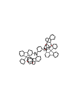 C1=CC(N(c2cccc(N(c3ccc4c(c3)C(c3ccccc3)(c3ccccc3)c3ccccc3-4)c3cccc4oc5ccccc5c34)c2)c2ccc3c(c2)oc2ccccc23)C2C(=C1)c1ccccc1C2(c1ccccc1)c1ccccc1